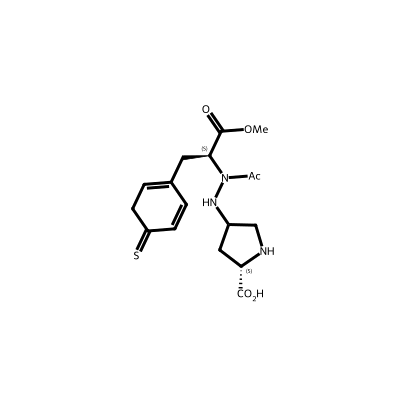 COC(=O)[C@H](CC1=CCC(=S)C=C1)N(NC1CN[C@H](C(=O)O)C1)C(C)=O